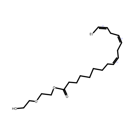 CC/C=C\C/C=C\C/C=C\CCCCCCCC(=O)OCCOCCO